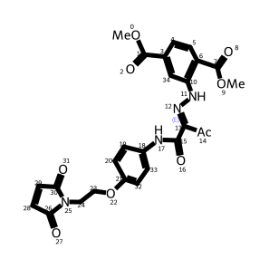 COC(=O)c1ccc(C(=O)OC)c(N/N=C(\C(C)=O)C(=O)Nc2ccc(OCCN3C(=O)C=CC3=O)cc2)c1